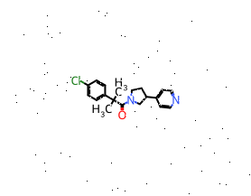 CC(C)(C(=O)N1CCC(c2ccncc2)C1)c1ccc(Cl)cc1